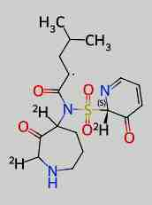 [2H]C1NCCCC([2H])(N(C(=O)[CH]CC(C)C)S(=O)(=O)[C@]2([2H])N=CC=CC2=O)C1=O